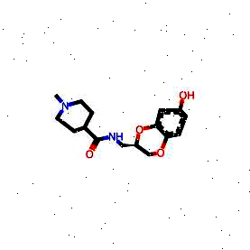 CN1CCC(C(=O)NC[C@@H]2COc3ccc(O)cc3O2)CC1